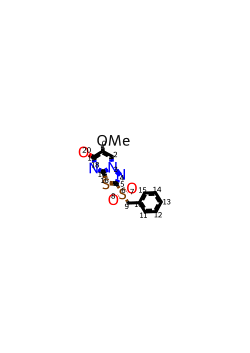 COc1cn2nc(S(=O)(=O)Cc3ccccc3)sc2nc1=O